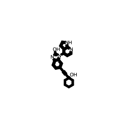 Oc1nc2ccc(C#CC3(O)CCCCC3)cc2n1-c1ccnc2[nH]ccc12